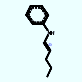 CCC/C=C/Nc1ccccc1